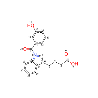 O=C(O)CCCc1cn(C(=O)c2cccc(O)c2)c2ccccc12